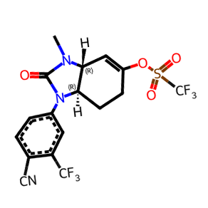 CN1C(=O)N(c2ccc(C#N)c(C(F)(F)F)c2)[C@@H]2CCC(OS(=O)(=O)C(F)(F)F)=C[C@H]21